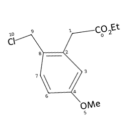 CCOC(=O)Cc1cc(OC)ccc1CCl